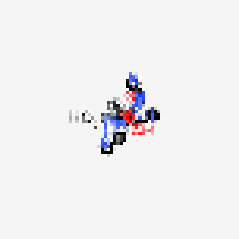 CC(C)(C)[C@H](NC(=O)O)C(=O)N[C@@H](Cc1ccc(-c2ccccn2)cc1)C[C@H](O)[C@H](Cc1ccccc1)NC(=O)[C@@H](N1CCN(Cc2cccnc2)C1=O)C(C)(C)C